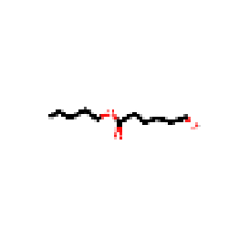 CCCCCOC(=O)CCCCC[O]